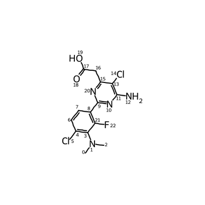 CN(C)c1c(Cl)ccc(-c2nc(N)c(Cl)c(CC(=O)O)n2)c1F